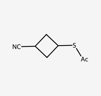 CC(=O)SC1CC(C#N)C1